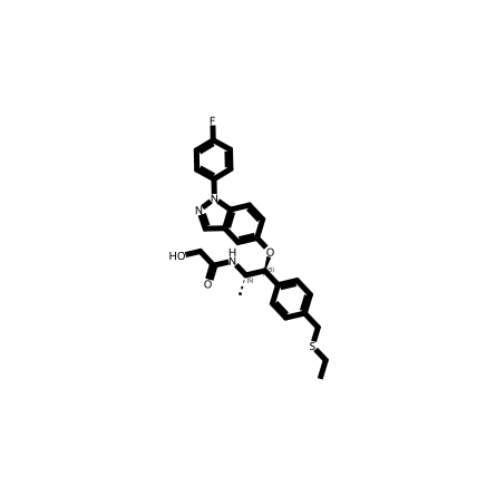 CCSCc1ccc([C@H](Oc2ccc3c(cnn3-c3ccc(F)cc3)c2)[C@H](C)NC(=O)CO)cc1